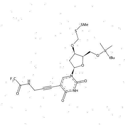 CSSCO[C@@H]1C[C@H](n2cc(C#CCNC(=O)C(F)(F)F)c(=O)[nH]c2=O)O[C@@H]1CO[Si](C)(C)C(C)(C)C